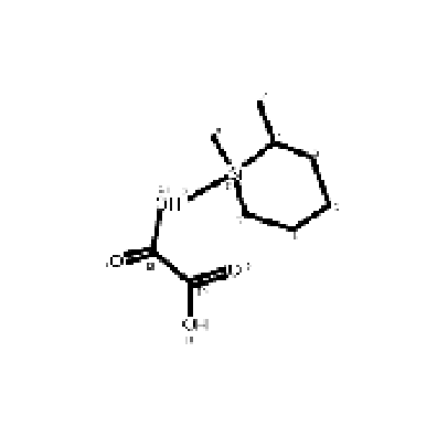 CC1CCCC[Si]1(C)C.O=C(O)C(=O)O